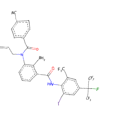 Bc1c(C(=O)Nc2c(I)cc(C(F)(C(F)(F)F)C(F)(F)F)cc2C(F)(F)F)cccc1N(CC=C)C(=O)c1ccc(C#N)cc1